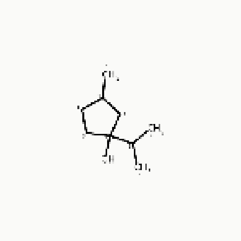 CC1CCC(O)(C(C)C)C1